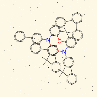 CC1(C)c2ccccc2-c2ccc(N(c3ccc(-c4ccccc4)cc3)c3cccc4c3Oc3c(N(c5ccc(-c6ccccc6)cc5)c5ccc6c(c5)C(C)(C)c5ccccc5-6)cccc3C43c4ccccc4-c4ccccc4-c4ccccc43)cc21